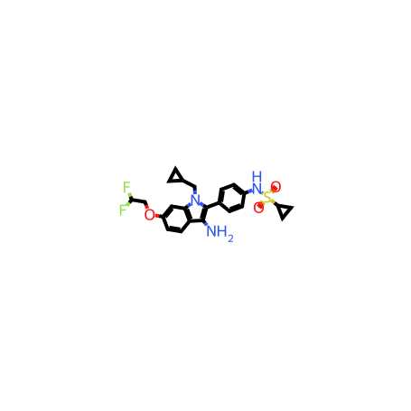 Nc1c(-c2ccc(NS(=O)(=O)C3CC3)cc2)n(CC2CC2)c2cc(OCC(F)F)ccc12